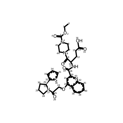 CCOC(=O)N1CCN(C(=O)C(CCC(=O)O)NC(=O)c2cc(OCC(=O)N3CCC[C@H]3c3cccs3)c3ccccc3n2)CC1